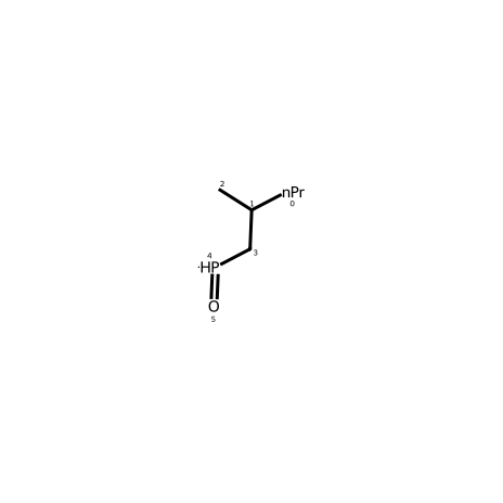 CCCC(C)C[PH]=O